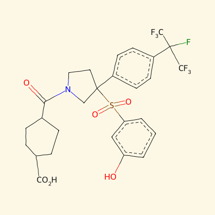 O=C(O)C1CCC(C(=O)N2CCC(c3ccc(C(F)(C(F)(F)F)C(F)(F)F)cc3)(S(=O)(=O)c3cccc(O)c3)C2)CC1